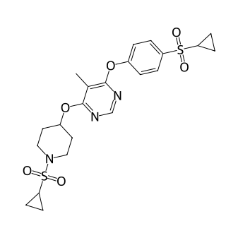 Cc1c(Oc2ccc(S(=O)(=O)C3CC3)cc2)ncnc1OC1CCN(S(=O)(=O)C2CC2)CC1